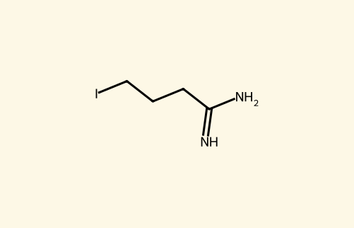 N=C(N)CCCI